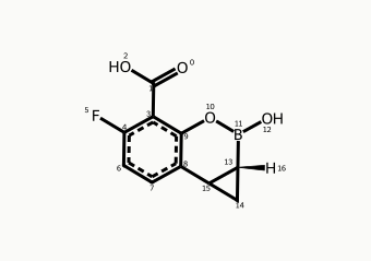 O=C(O)c1c(F)ccc2c1OB(O)[C@@H]1CC21